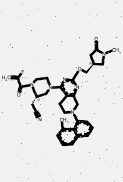 C=C(F)C(=O)N1CCN(c2nc(OC[C@H]3CC(=O)N(C)C3)nc3c2CCN(c2cccc4cccc(C)c24)C3)C[C@@H]1CC#N